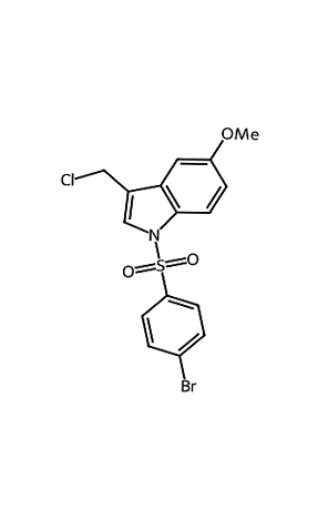 COc1ccc2c(c1)c(CCl)cn2S(=O)(=O)c1ccc(Br)cc1